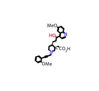 COc1ccc2nccc([C@@H](O)CC[C@@H]3CCN(CC#Cc4ccccc4OC)C[C@@H]3CC(=O)O)c2c1